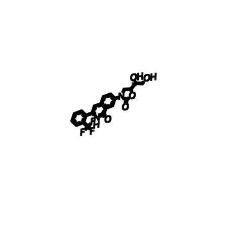 O=C1OC([C@@H](O)CO)CN1c1ccc2cc(-c3ccccc3C(F)(F)F)[nH]c(=O)c2c1